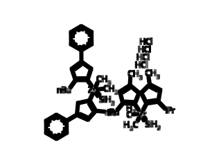 CC1=CC(C(C)C)=[C]([Zr]([CH3])([CH3])(=[SiH2])[C]2=C(C(C)C)C=C(C)C2)C1.CCCCC1=[C]([Zr]([CH3])([CH3])(=[SiH2])[C]2=C(CCCC)C=C(c3ccccc3)C2)CC(c2ccccc2)=C1.Cl.Cl.Cl.Cl